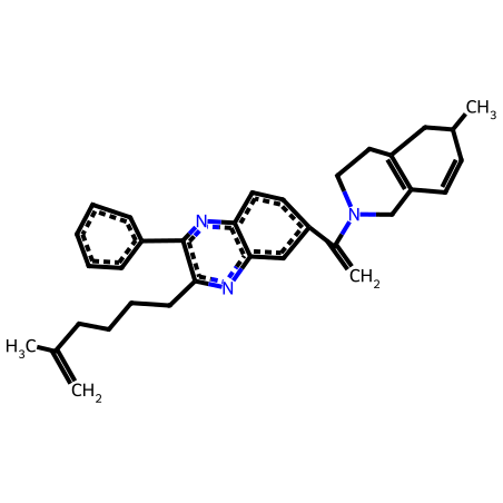 C=C(C)CCCCc1nc2cc(C(=C)N3CCC4=C(C=CC(C)C4)C3)ccc2nc1-c1ccccc1